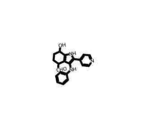 O=CC1CCC(O)c2[nH]c(-c3ccncc3)c(Nc3ccccc3)c21